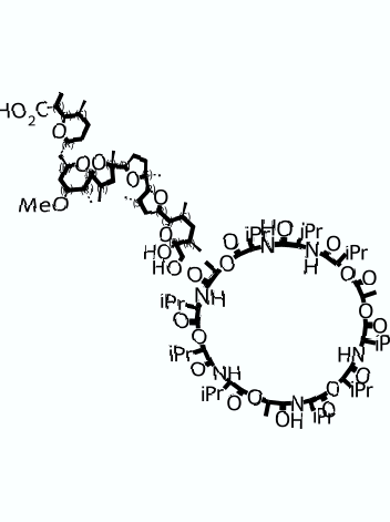 CC1OC(=O)C(C(C)C)NC(=O)C(C(C)C)NC(=O)C(C(C)C)OC(=O)C(C)OC(=O)C(C(C)C)NC(=O)C(C(C)C)OC(=O)C(C(C)C)NC(=O)C(C)OC(=O)C(C(C)C)NC(=O)C(C(C)C)OC(=O)C(C(C)C)NC1=O.CO[C@@H]1C[C@@H](C[C@H]2CC[C@H](C)[C@H]([C@@H](C)C(=O)O)O2)O[C@]2(O[C@](C)([C@H]3CC[C@@](C)([C@@H]4O[C@@H]([C@H]5O[C@@](O)(CO)[C@H](C)C[C@@H]5C)C[C@@H]4C)O3)C[C@H]2C)[C@@H]1C